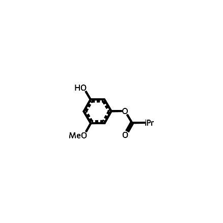 COc1cc(O)cc(OC(=O)C(C)C)c1